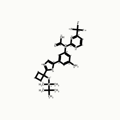 CC(C)(C)[Si](C)(C)OC1(c2ncc(-c3cc(N)cc(N(C(=O)O)c4nccc(C(F)(F)F)n4)c3)s2)CCC1